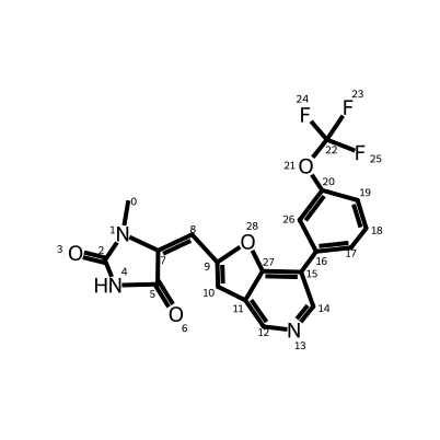 CN1C(=O)NC(=O)/C1=C\c1cc2cncc(-c3cccc(OC(F)(F)F)c3)c2o1